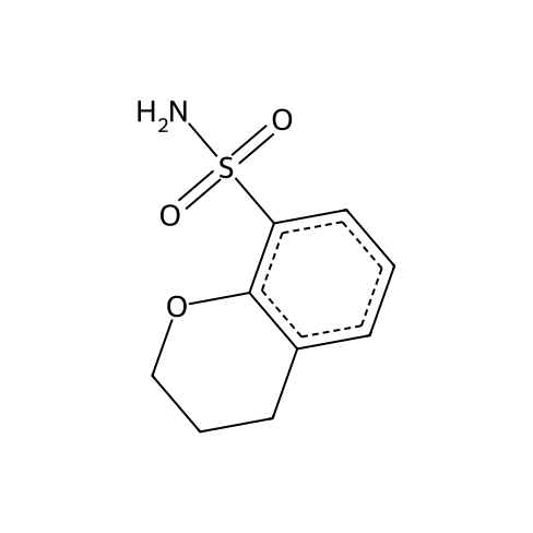 NS(=O)(=O)c1cccc2c1OCCC2